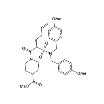 C=CCC[C@H](C(=O)N1CCC(C(=O)OC)CC1)S(=O)(=O)N(Cc1ccc(OC)cc1)Cc1ccc(OC)cc1